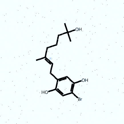 C/C(=C\Cc1cc(O)c(Br)cc1O)CCCC(C)(C)O